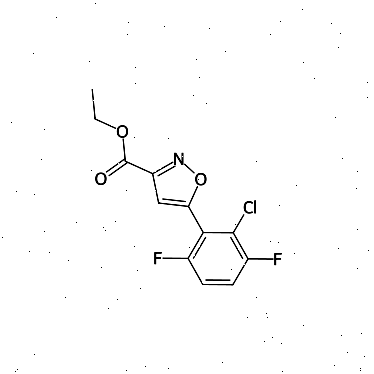 CCOC(=O)c1cc(-c2c(F)ccc(F)c2Cl)on1